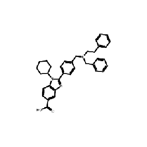 O=C(O)c1ccc2c(c1)nc(-c1ccc(CN(CCc3ccccc3)Cc3ccccc3)cc1)n2C1CCCCC1